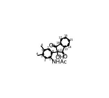 CC(=O)Nc1cc(C)c(C)cc1C1(O)C(=O)c2ccccc2C1=O